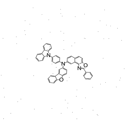 c1ccc(-c2nc3c(ccc4ccc(N(c5ccc(-n6c7ccccc7c7ccccc76)cc5)c5ccc6oc7ccccc7c6c5)cc43)o2)cc1